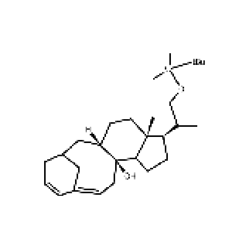 CC(CO[Si](C)(C)C(C)(C)C)[C@H]1CCC2[C@]1(C)CC[C@H]1CC3CC=C/C(=C/C[C@@]21O)C3